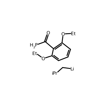 CCOc1cccc(OCC)c1C(=O)P.[Li][CH2]C(C)C